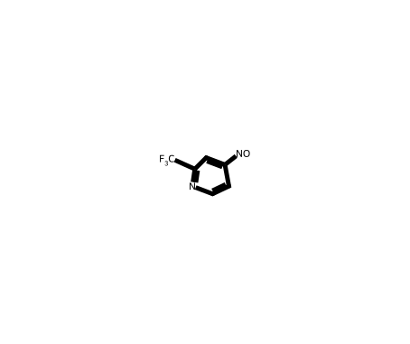 O=Nc1ccnc(C(F)(F)F)c1